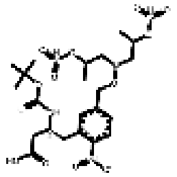 CC(CN(CC(C)O[SH](=O)=O)OCc1ccc([N+](=O)[O-])c(C[C@@H](CC(=O)O)NC(=O)OC(C)(C)C)c1)O[SH](=O)=O